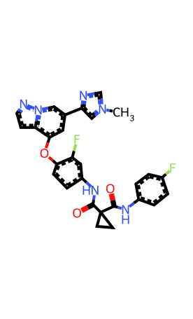 Cn1cnc(-c2cc(Oc3ccc(NC(=O)C4(C(=O)Nc5ccc(F)cc5)CC4)cc3F)c3ccnn3c2)c1